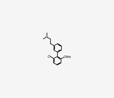 COc1cccc(Cl)c1-c1cccc(CCN(C)C)c1